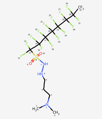 CN(C)CCCNNS(=O)(=O)C(F)(F)C(F)(F)C(F)(F)C(F)(F)C(F)(F)C(F)(F)C(F)(F)C(F)(F)F